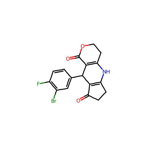 O=C1CCC2=C1C(c1ccc(F)c(Br)c1)C1=C(CCOC1=O)N2